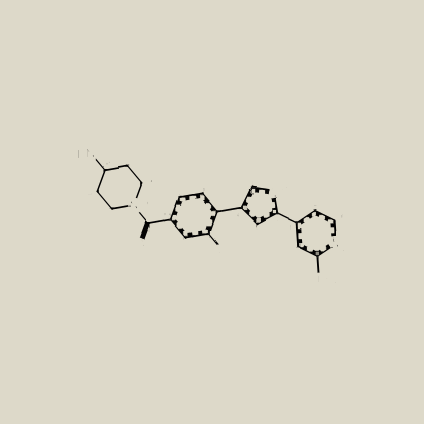 CC(C)(C)c1cc(-c2cc(-c3ccc(C(=O)N4CCC(N)CC4)cc3Cl)cs2)ccn1